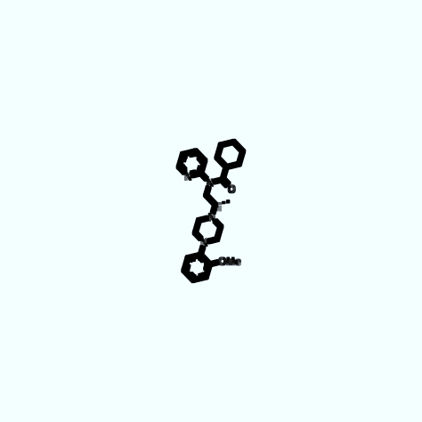 COc1ccccc1N1CCN([C@@H](C)CN(C(=O)C2CCCCC2)c2ccccn2)CC1